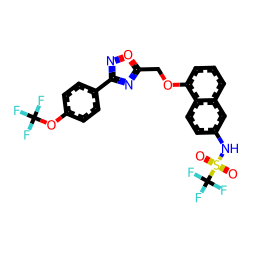 O=S(=O)(Nc1ccc2c(OCc3nc(-c4ccc(OC(F)(F)F)cc4)no3)cccc2c1)C(F)(F)F